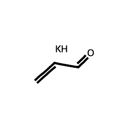 C=CC=O.[KH]